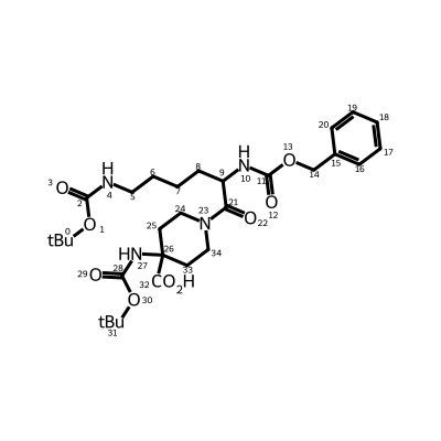 CC(C)(C)OC(=O)NCCCCC(NC(=O)OCc1ccccc1)C(=O)N1CCC(NC(=O)OC(C)(C)C)(C(=O)O)CC1